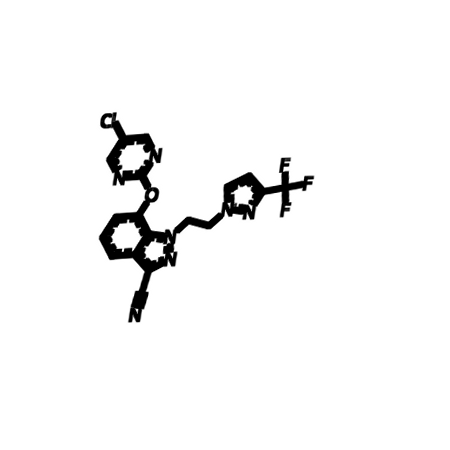 N#Cc1nn(CCn2ccc(C(F)(F)F)n2)c2c(Oc3ncc(Cl)cn3)cccc12